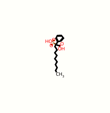 CCCCCCCCCCC(C(=O)O)(c1ccccc1)S(=O)(=O)O